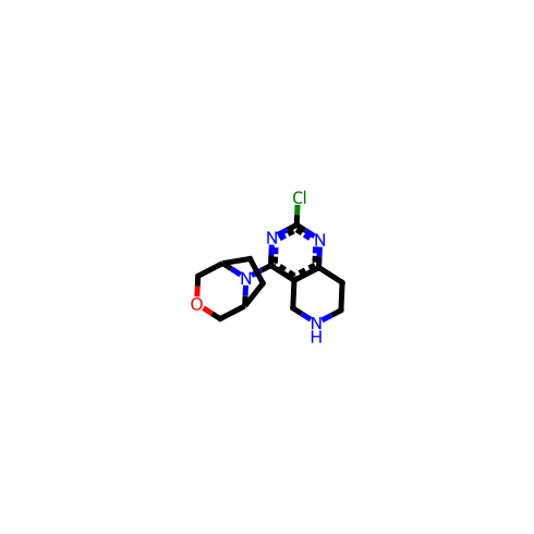 Clc1nc2c(c(N3C4CCC3COC4)n1)CNCC2